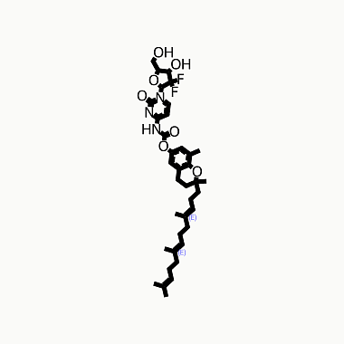 CC(C)=CCC/C(C)=C/CC/C(C)=C/CCC1(C)CCc2cc(OC(=O)Nc3ccn(C4OC(CO)C(O)C4(F)F)c(=O)n3)cc(C)c2O1